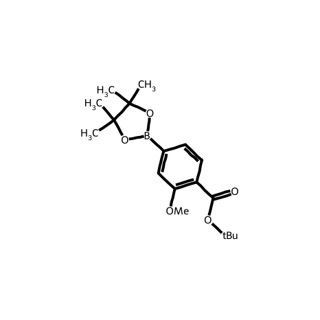 COc1cc(B2OC(C)(C)C(C)(C)O2)ccc1C(=O)OC(C)(C)C